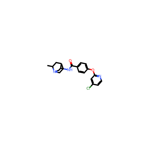 CC1CC2CCN1CC2NC(=O)c1ccc(Oc2cc(Cl)ccn2)cc1